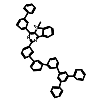 C[Si]1(C)c2ccccc2-c2nc(-c3cccc(-c4cccc(-c5cccc(-c6cc(-c7ccccc7)cc(-c7ccccc7)c6)c5)c4)c3)nc(-c3cccc(-c4ccccc4)c3)c21